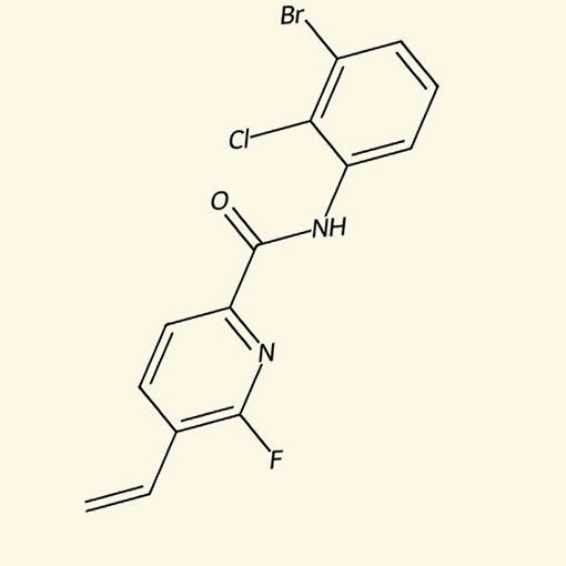 C=Cc1ccc(C(=O)Nc2cccc(Br)c2Cl)nc1F